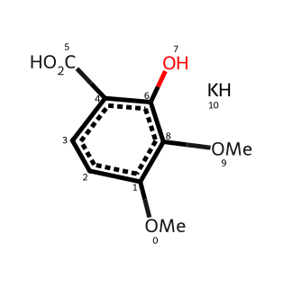 COc1ccc(C(=O)O)c(O)c1OC.[KH]